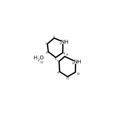 C1CCNCC1.C1CCNCC1.O